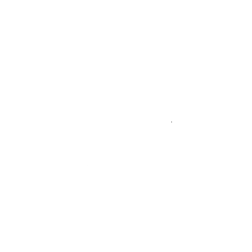 CCCOC.CCO.OCCOCCO